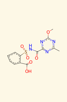 COc1nc(C)nc(C(=O)NS(=O)(=O)c2ccccc2C(=O)O)n1